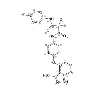 Cc1n[nH]c2nccc(Oc3ccc(NC(=O)C4(C(=O)Nc5ccc(F)cc5)CC4)cn3)c12